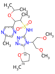 COCC(COC)n1c(NS(=O)(=O)C(C)C(OC(C)C)c2cnc(C)cn2)nnc1[C@@H]1CC[C@H](C)O1